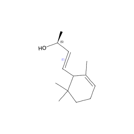 CC1=CCCC(C)(C)C1/C=C/[C@H](C)O